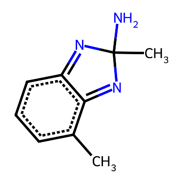 Cc1cccc2c1=NC(C)(N)N=2